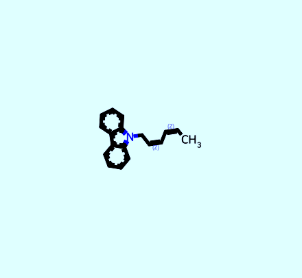 C/C=C\C=C/Cn1c2ccccc2c2ccccc21